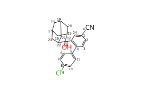 N#Cc1ccc(-c2ccc(Cl)cc2)c(C2(O)C3CC4CC(C3)CC2C4)c1